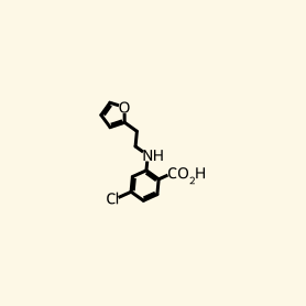 O=C(O)c1ccc(Cl)cc1NCCc1ccco1